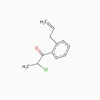 C=CCc1ccccc1C(=O)C(C)Cl